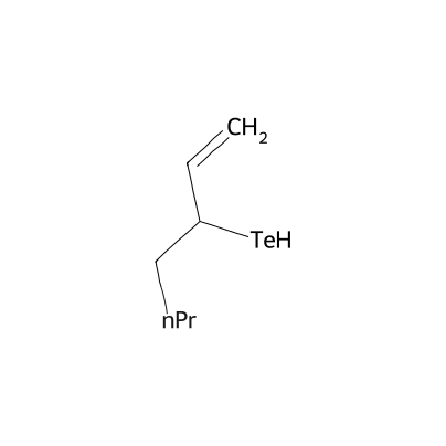 C=CC([TeH])CCCC